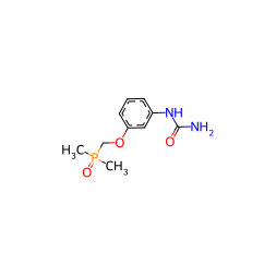 CP(C)(=O)COc1cccc(NC(N)=O)c1